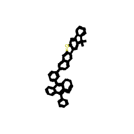 CC1(C)c2ccccc2-c2cc3sc4cc5cc(-c6cccc(-c7c8ccccc8c(-c8ccccc8)c8ccccc78)c6)ccc5cc4c3cc21